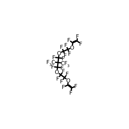 FC(F)=C(F)OC(F)(F)C(F)(F)OC(F)(F)C(C(F)(F)F)(C(F)(F)F)C(F)(F)OC(F)(F)C(F)(F)OC(F)=C(F)F